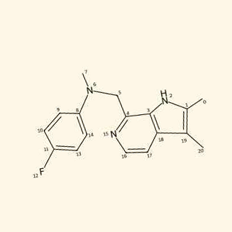 Cc1[nH]c2c(CN(C)c3ccc(F)cc3)nccc2c1C